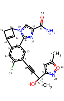 Cc1cc([C@@](C)(O)C#Cc2cc3c(cc2F)C2=CC(C2)n2cc(C(N)=O)nc2-3)no1